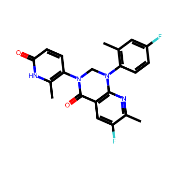 Cc1cc(F)ccc1N1CN(c2ccc(=O)[nH]c2C)C(=O)c2cc(F)c(C)nc21